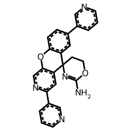 NC1=NC2(CCO1)c1cc(-c3cccnc3)ccc1Oc1cnc(-c3cccnc3)cc12